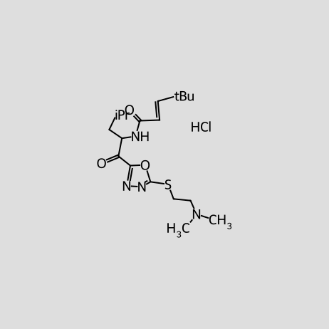 CC(C)CC(NC(=O)C=CC(C)(C)C)C(=O)c1nnc(SCCN(C)C)o1.Cl